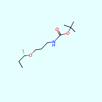 CC[C@H](C)OCCCNC(=O)OC(C)(C)C